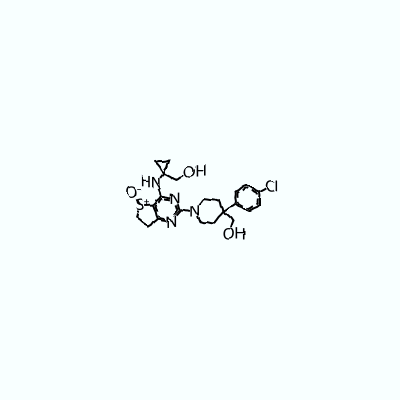 [O-][S+]1CCc2nc(N3CCC(CO)(c4ccc(Cl)cc4)CC3)nc(NC3(CO)CC3)c21